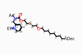 CCCCCCCCCCCCCCCCCCOCCSCCOC(=O)N(Cc1cccc[n+]1CC)C(C)=O